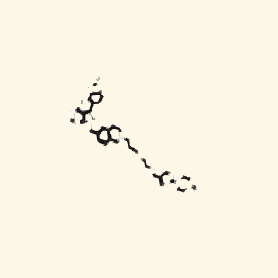 CCN1CCN(c2ncc(C(=O)NCCOCCC(=O)N3CCc4cc(Cn5nc(-c6ccc7oc(N)nc7c6)c6c(N)ncnc65)ccc4C3)cn2)CC1